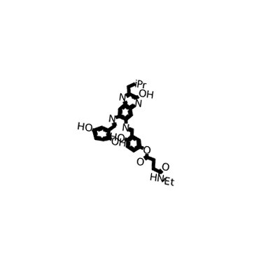 CCNC(=O)CCC(=O)Oc1ccc(O)c(/C=N/c2cc3nc(O)c(CC(C)C)nc3cc2/N=C/c2cc(O)ccc2O)c1